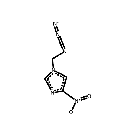 [N-]=[N+]=NCn1cnc([N+](=O)[O-])c1